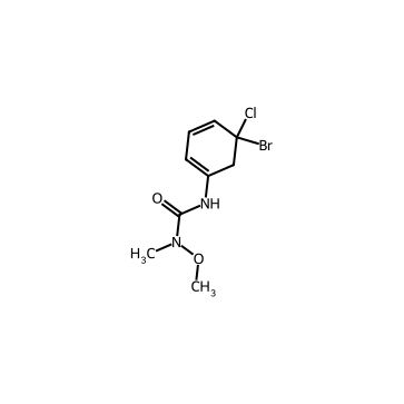 CON(C)C(=O)NC1=CC=CC(Cl)(Br)C1